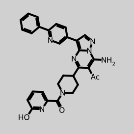 CC(=O)c1c(C2CCN(C(=O)c3cccc(O)n3)CC2)nc2c(-c3ccc(-c4ccccc4)nc3)cnn2c1N